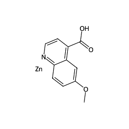 COc1ccc2nccc(C(=O)O)c2c1.[Zn]